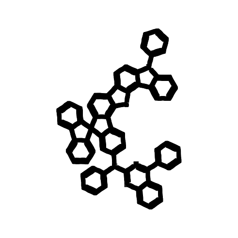 c1ccc(-c2nc(N(c3ccccc3)c3ccc4c(c3)C3(c5ccccc5-c5ccccc53)c3ccc5c(sc6c5ccc5c6c6ccccc6n5-c5ccccc5)c3-4)nc3ccccc23)cc1